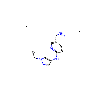 NCc1ccc(Nc2cnn(CC(F)(F)F)c2)nc1